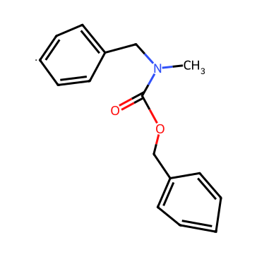 CN(Cc1cc[c]cc1)C(=O)OCc1ccccc1